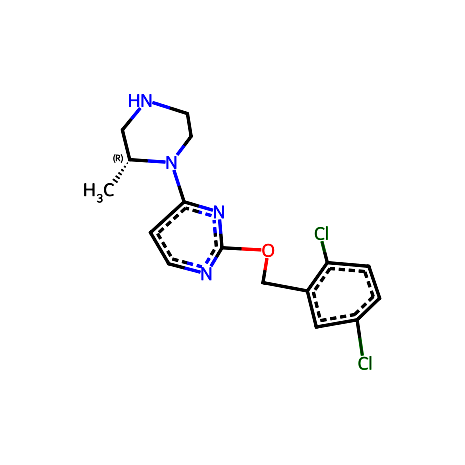 C[C@@H]1CNCCN1c1ccnc(OCc2cc(Cl)ccc2Cl)n1